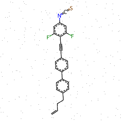 C=CCCc1ccc(-c2ccc(C#Cc3c(F)cc(N=C=S)cc3F)cc2)cc1